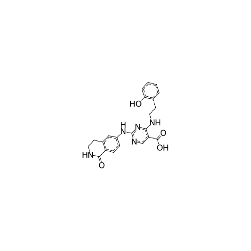 O=C1NCCc2cc(Nc3ncc(C(=O)O)c(NCCc4ccccc4O)n3)ccc21